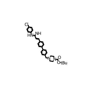 CC(C)(C)OC(=O)N1CCN(Cc2ccc(-c3ccc(/C=C/C(=N)Nc4ccc(Cl)cc4)cc3)cc2)CC1